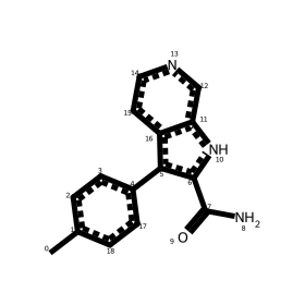 Cc1ccc(-c2c(C(N)=O)[nH]c3cnccc23)cc1